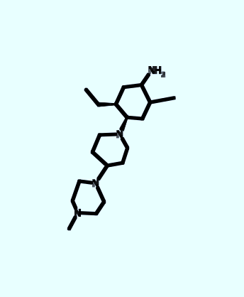 CC[C@H]1CC(N)C(C)C[C@H]1N1CCC(N2CCN(C)CC2)CC1